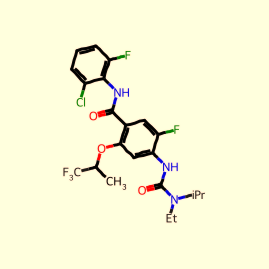 CCN(C(=O)Nc1cc(OC(C)C(F)(F)F)c(C(=O)Nc2c(F)cccc2Cl)cc1F)C(C)C